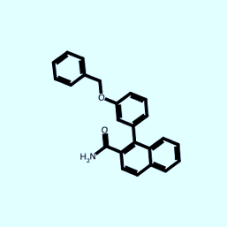 NC(=O)c1ccc2ccccc2c1-c1cccc(OCc2ccccc2)c1